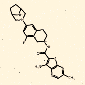 Cc1cnc2c(N)c(C(=O)N[C@@H]3CCc4cc(N5CC6CCC(C5)N6)cc(F)c4C3)sc2n1